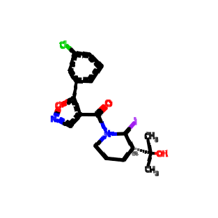 CC(C)(O)[C@@H]1CCCN(C(=O)c2cnoc2-c2cccc(Cl)c2)C1I